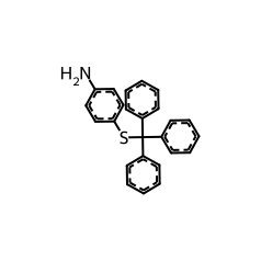 Nc1ccc(SC(c2ccccc2)(c2ccccc2)c2ccccc2)cc1